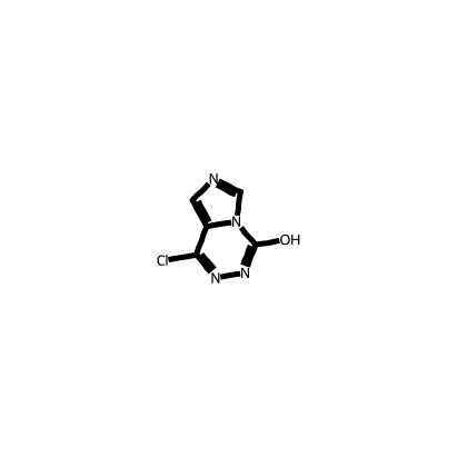 Oc1nnc(Cl)c2cncn12